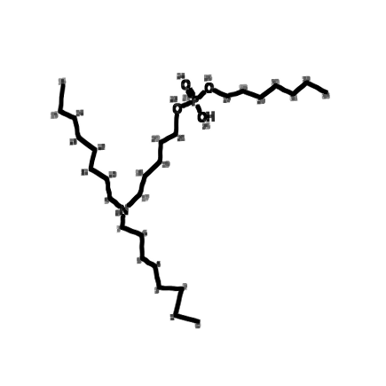 CCCCCCCCN(CCCCCCCC)CCCCCOP(=O)(O)OCCCCCCC